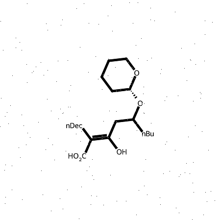 CCCCCCCCCC/C(C(=O)O)=C(/O)CC(CCCC)O[C@@H]1CCCCO1